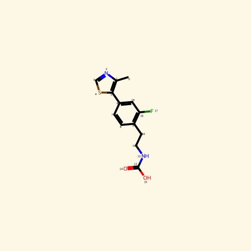 Cc1ncsc1-c1ccc(CCNC(=O)O)c(F)c1